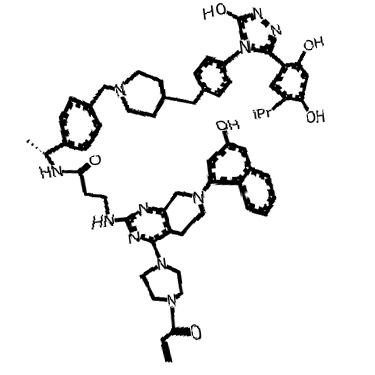 C=CC(=O)N1CCN(c2nc(NCCC(=O)N[C@H](C)c3ccc(CN4CCC(Cc5ccc(-n6c(O)nnc6-c6cc(C(C)C)c(O)cc6O)cc5)CC4)cc3)nc3c2CCN(c2cc(O)cc4ccccc24)C3)CC1